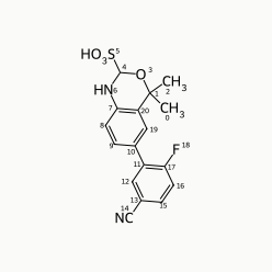 CC1(C)OC(S(=O)(=O)O)Nc2ccc(-c3cc(C#N)ccc3F)cc21